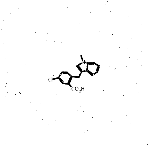 Cn1cc(Cc2ccc(Cl)cc2C(=O)O)c2ccccc21